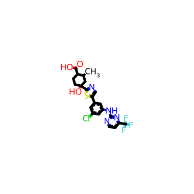 CC1CC(O)(c2ncc(-c3cc(Cl)cc(Nc4nccc(C(F)(F)F)n4)c3)s2)CCC1C(=O)O